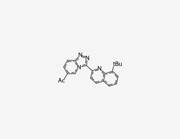 CC(=O)c1ccc2nnc(-c3ccc4cccc(C(C)(C)C)c4n3)n2c1